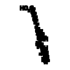 C[C@H](NC(=O)c1cccc(NCc2nnc(-c3ccncn3)n2C)c1)c1ccc(OCCCCCOCCCOCC(=O)O)cc1